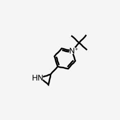 CC(C)(C)[n+]1ccc(C2CN2)cc1